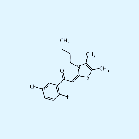 CCCCN1C(=CC(=O)c2cc(Cl)ccc2F)SC(C)=C1C